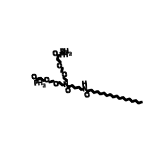 CCCCCCCCCCCCCCCCCC(=O)NCCCCC(=O)N(CCOCCOCCC(=O)P)CCOCCOCCC(=O)PP